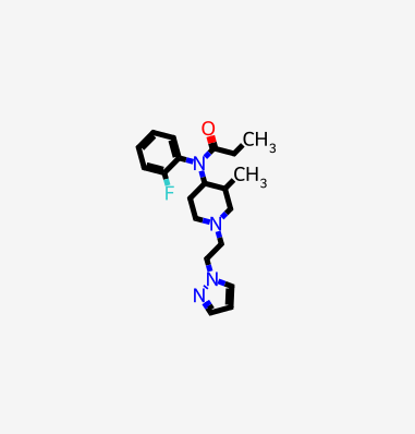 CCC(=O)N(c1ccccc1F)C1CCN(CCn2cccn2)CC1C